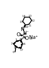 Cc1ccc(S(=O)(=O)[N-]N=C2CCCCC2)cc1.[Na+]